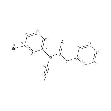 N#CC(C(=O)Cc1ccccc1)c1cccc(Br)c1